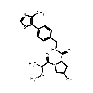 CO[C@@H](C)C(=O)N1C[C@H](O)C[C@H]1C(=O)NCc1ccc(-c2scnc2C)cc1